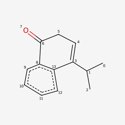 CC(C)C1=CCC(=O)c2ccccc21